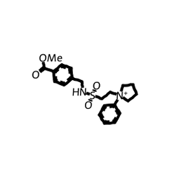 COC(=O)c1ccc(CNS(=O)(=O)CC[N+]2(c3ccccc3)CCCC2)cc1